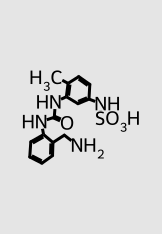 Cc1ccc(NS(=O)(=O)O)cc1NC(=O)Nc1ccccc1CN